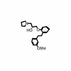 COc1cccc(CCc2ccccc2OC[C@H](O)CN2CCCC2)c1